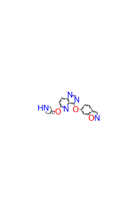 c1nc(Oc2ccc3cnoc3c2)c2nc(O[C@H]3CCNC3)ccc2n1